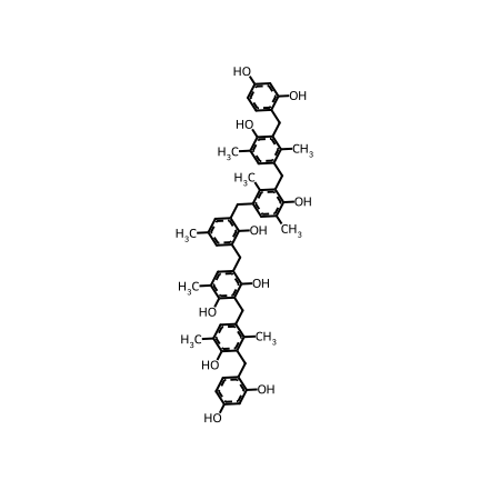 Cc1cc(Cc2cc(C)c(O)c(Cc3cc(C)c(O)c(Cc4ccc(O)cc4O)c3C)c2C)c(O)c(Cc2cc(C)c(O)c(Cc3cc(C)c(O)c(Cc4ccc(O)cc4O)c3C)c2O)c1